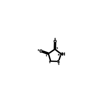 O=C1[CH]SNC1=O